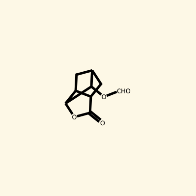 O=COC1C2CC3C(=O)OC1C3C2